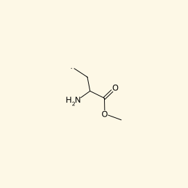 [CH2]CC(N)C(=O)OC